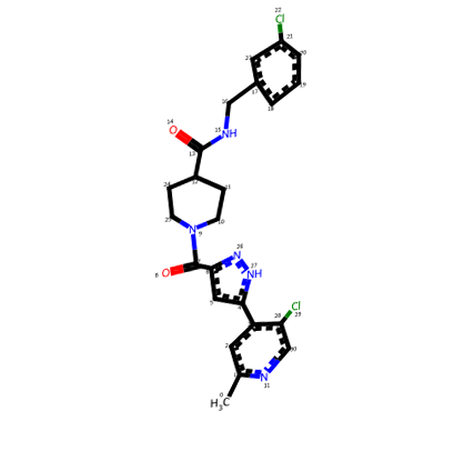 Cc1cc(-c2cc(C(=O)N3CCC(C(=O)NCc4cccc(Cl)c4)CC3)n[nH]2)c(Cl)cn1